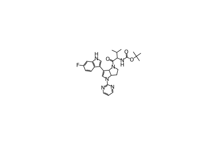 CC(C)C(NC(=O)OC(C)(C)C)C(=O)N1CCC2C1C(c1c[nH]c3cc(F)ccc13)=CN2c1ncccn1